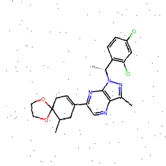 Cc1nn([C@H](C)c2ccc(Cl)cc2Cl)c2nc(C3=CCC4(OCCO4)C(C)C3)cnc12